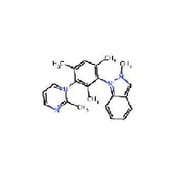 Cc1cc(C)c(-[n+]2c3ccccc3cn2C)c(C)c1-[n+]1cccnc1C